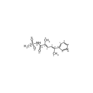 C/C(=C\C=C(/C)c1cccnc1)C(=O)NS(C)(=O)=O